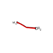 C=CCCCCCCCCCCCCCCCCCCCCCCCCCCCCCC=C